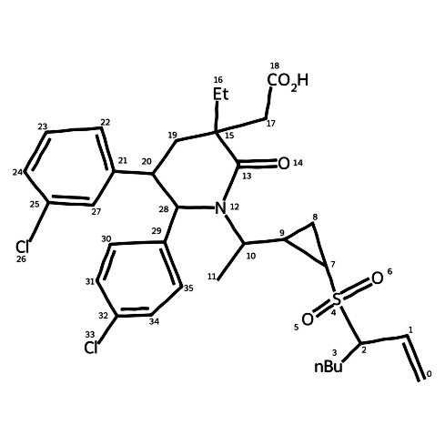 C=CC(CCCC)S(=O)(=O)C1CC1C(C)N1C(=O)C(CC)(CC(=O)O)CC(c2cccc(Cl)c2)C1c1ccc(Cl)cc1